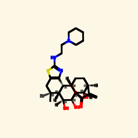 C=C1C(=O)[C@]23[C@H](O)[C@H]1CC[C@H]2[C@@]12CO[C@@]3(O)[C@@H](O)[C@@H]1[C@](C)(CC)Cc1sc(NCCN3CCCCC3)nc12